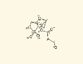 O=C(CCCl)OC1C2CC3C(O2)C1OS3(=O)=O